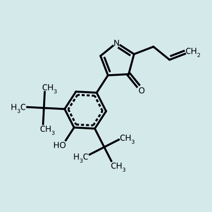 C=CCC1=NC=C(c2cc(C(C)(C)C)c(O)c(C(C)(C)C)c2)C1=O